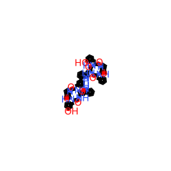 O=C1N[C@H](Cc2c[nH]c3ccccc23)C(=O)N[C@@H](Cc2cccc(-c3cccc4c(C[C@H]5NC(=O)[C@H](Cc6ccccc6)NC(=O)[C@H]6CCCN6C(=O)[C@H](Cc6cccc(O)c6)NC5=O)c[nH]c34)c2)C(=O)N2CCC[C@@H]2C(=O)N[C@H]1Cc1cccc(O)c1